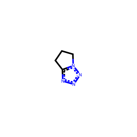 C1Cc2nnnn2C1